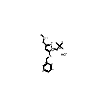 CNCc1cc(OCc2ccccc2)n(CC(C)(C)C)n1.Cl